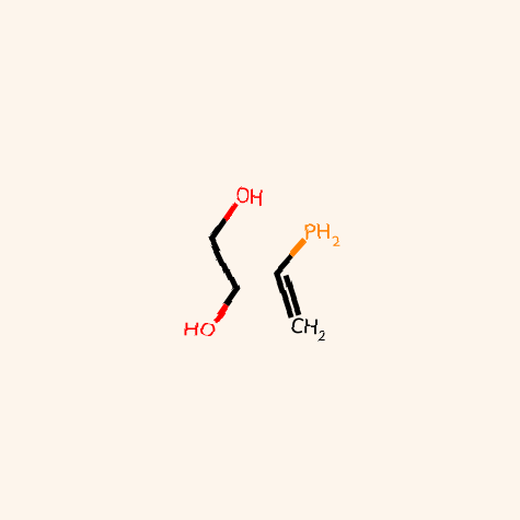 C=CP.OCCO